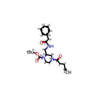 C#CCCC(=O)N1CCN(C(=O)OC(C)(C)C)C(CNC(=O)Cc2ccccc2)C1